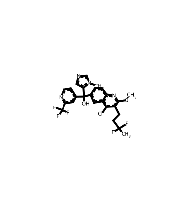 COc1nc2ccc(C(O)(c3ccnc(C(F)(F)F)c3)c3cncn3C)cc2c(Cl)c1CCC(C)(F)F